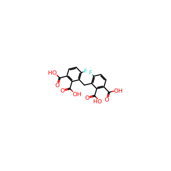 O=C(O)c1ccc(F)c(Cc2c(F)ccc(C(=O)O)c2C(=O)O)c1C(=O)O